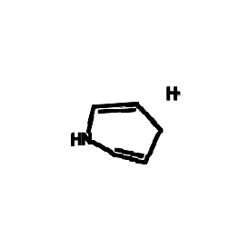 C1=CNC=CC1.[H]